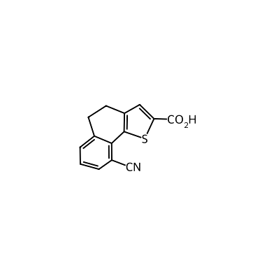 N#Cc1cccc2c1-c1sc(C(=O)O)cc1CC2